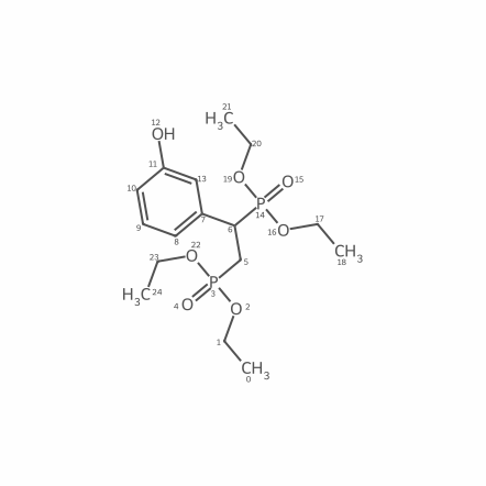 CCOP(=O)(CC(c1cccc(O)c1)P(=O)(OCC)OCC)OCC